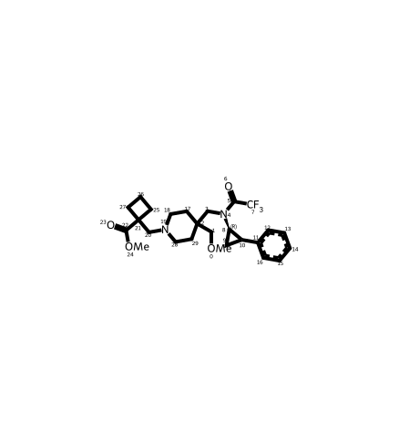 COCC1(CN(C(=O)C(F)(F)F)[C@@H]2CC2c2ccccc2)CCN(CC2(C(=O)OC)CCC2)CC1